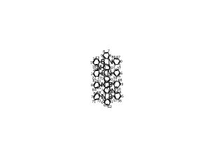 c1ccc(N2c3ccccc3B3c4ccccc4N4c5ccccc5B5c6cc7c(cc6N(c6ccccc6)c6cc2c3c4c65)B2c3ccccc3N3c4ccccc4B4c5ccccc5N(c5ccccc5)c5cc(c2c3c54)N7c2ccccc2)cc1